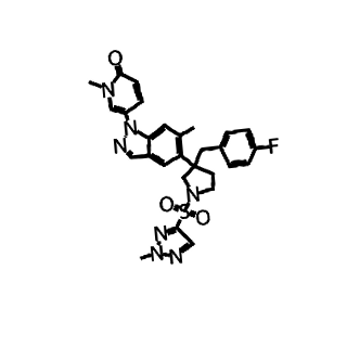 Cc1cc2c(cnn2-c2ccc(=O)n(C)c2)cc1C1(Cc2ccc(F)cc2)CCN(S(=O)(=O)c2cnn(C)n2)C1